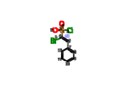 O=S(=O)(Cl)/C(Br)=C/c1ccccc1